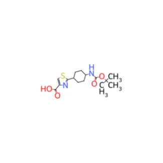 CC(C)(C)OC(=O)NC1CCC(c2nc(C(=O)O)cs2)CC1